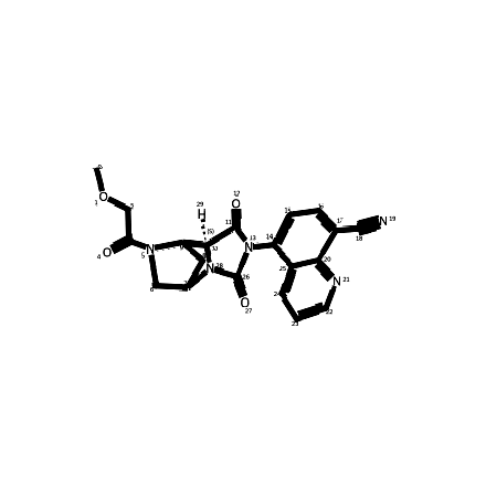 COCC(=O)N1CC2CC1[C@H]1C(=O)N(c3ccc(C#N)c4ncccc34)C(=O)N21